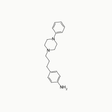 Nc1ccc(CCCN2CCN(c3ccccc3)CC2)cc1